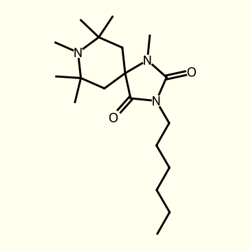 CCCCCCN1C(=O)N(C)C2(CC(C)(C)N(C)C(C)(C)C2)C1=O